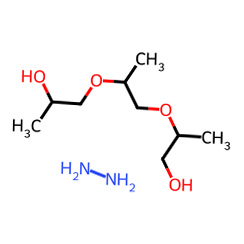 CC(O)COC(C)COC(C)CO.NN